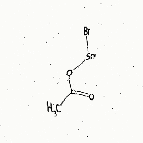 CC(=O)[O][Sn][Br]